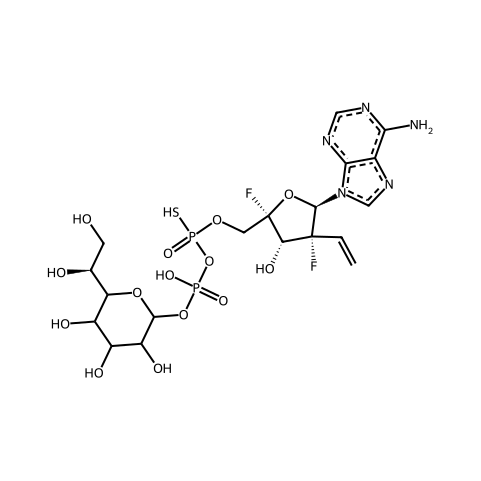 C=C[C@]1(F)[C@H](n2cnc3c(N)ncnc32)O[C@](F)(COP(=O)(S)OP(=O)(O)OC2OC([C@@H](O)CO)C(O)C(O)C2O)[C@H]1O